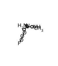 CNc1ccc(-c2cc(-c3cccc(OCCOCCOCCF)c3)n(N)n2)cc1